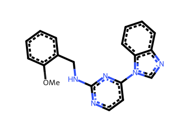 COc1ccccc1CNc1nccc(-n2cnc3ccccc32)n1